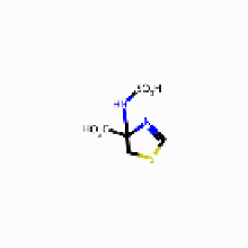 O=C(O)C1(NS(=O)(=O)O)CSC=N1